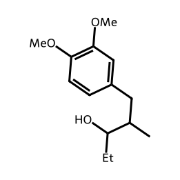 CCC(O)C(C)Cc1ccc(OC)c(OC)c1